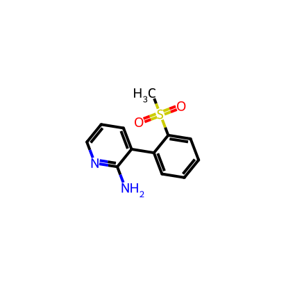 CS(=O)(=O)c1ccccc1-c1cccnc1N